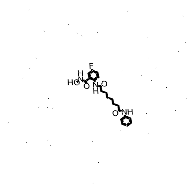 O=C(CCCCCCC(=O)Nc1ccc(F)cc1C(=O)NO)Nc1ccccc1